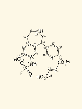 CS(=O)(=O)Nc1cc2c(cc1O)CCNCC2c1ccccc1.O=C(O)C=CC(=O)O